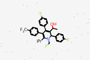 CC(C)C1=C(c2ccc(C(F)(F)F)cc2)C(c2ccc(F)cc2)=C(C(C)O)C(c2ccc(F)cc2)N1CF